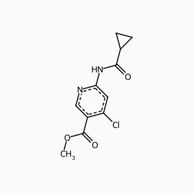 COC(=O)c1cnc(NC(=O)C2CC2)cc1Cl